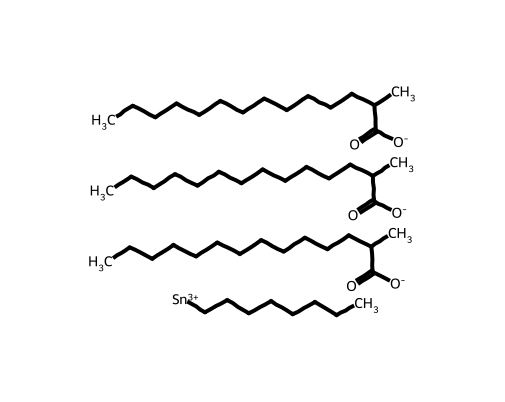 CCCCCCCCCCCCC(C)C(=O)[O-].CCCCCCCCCCCCC(C)C(=O)[O-].CCCCCCCCCCCCC(C)C(=O)[O-].CCCCCCC[CH2][Sn+3]